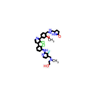 COc1cc(-c2nccc(-c3cccc(Nc4nccc(CN(C)CCO)c4F)c3Cl)c2Cl)ccc1CNCC1CCC(=O)N1